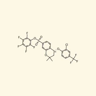 CC1(C)C[C@@H](Oc2ccc(C(F)(F)F)cc2Cl)c2ccc(S(=O)(=O)Oc3c(F)c(F)c(F)c(F)c3F)cc2O1